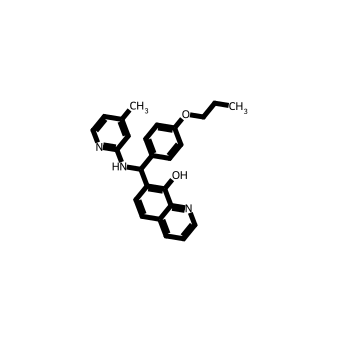 CCCOc1ccc(C(Nc2cc(C)ccn2)c2ccc3cccnc3c2O)cc1